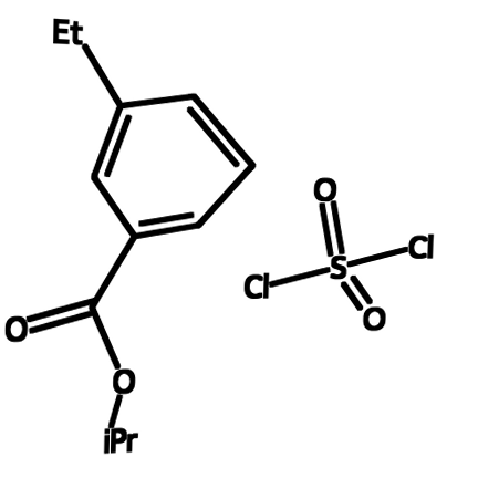 CCc1cccc(C(=O)OC(C)C)c1.O=S(=O)(Cl)Cl